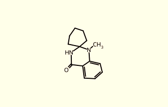 CN1c2ccccc2C(=O)NC12CCCCC2